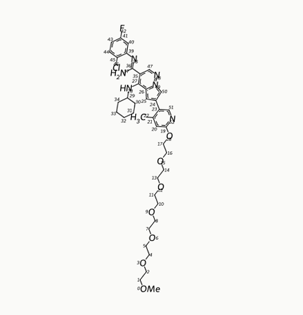 COCCOCCOCCOCCOCCOCCOc1cc(C)c(-c2cc3c(NC4CCCCC4)c(/C(N)=N/c4cc(F)ccc4Cl)cnn3c2)cn1